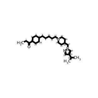 CCC(=O)C1CCC(CCCCCN2CCC(Cn3cc(C(C)C)cn3)CC2)CC1